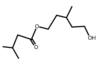 CC(C)CC(=O)OCCC(C)CCO